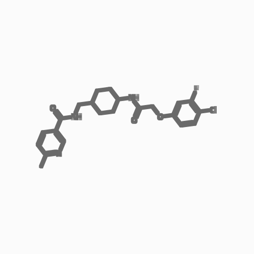 Cc1ccc(C(=O)NCC2CCC(NC(=O)COc3ccc(Cl)c(F)c3)CC2)cn1